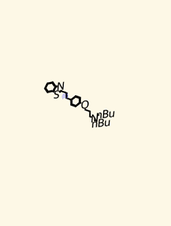 CCCCN(CCCC)CCCOc1ccc(/C=C/c2nc3ccccc3s2)cc1